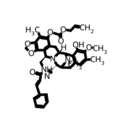 C=CCOC(=O)Oc1c(C)c2c(c3c1C[C@H]1C4c5c(cc(C)c(OC)c5O)CC([C@H](C#N)N1[C@H]3CNC(=O)/C=C/c1ccccc1)N4C)OCO2